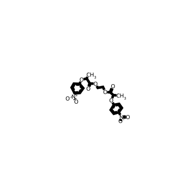 CC(Oc1ccc([N+](=O)[O-])cc1)C(=O)OCCOC(=O)C(C)Oc1ccc([N+](=O)[O-])cc1